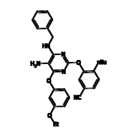 CCCCc1ccc(C#N)cc1Oc1nc(NCc2ccccc2)c(N)c(Oc2cccc(OCC)c2)n1